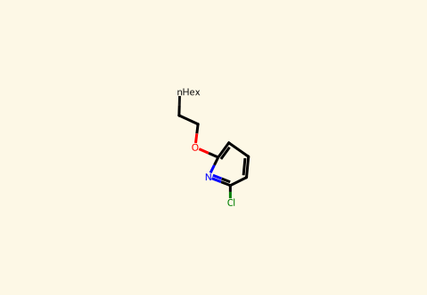 CCCCCCCCOc1cccc(Cl)n1